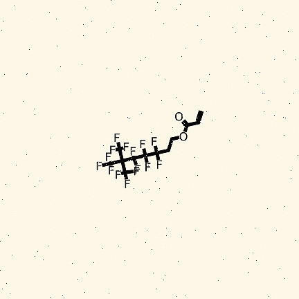 C=CC(=O)OCCC(F)(F)C(F)(F)C(F)(F)C(C(F)(F)F)(C(F)(F)F)C(F)(F)F